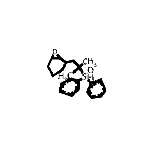 CC(C)(CC1CCCC2OC12)[Si](O)(c1ccccc1)c1ccccc1